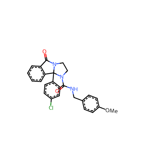 COc1ccc(CNC(=O)N2CCN3C(=O)c4ccccc4C23c2ccc(Cl)cc2)cc1